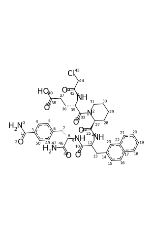 NC(=O)c1ccc(C[C@H](NC(=O)C(Cc2ccc3ccccc3c2)NC(=O)[C@@H]2CCCCN2C(=O)[C@H](CCC(=O)O)NC(=O)CCl)C(N)=O)cc1